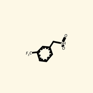 O=[SH](=O)Cc1cc[c]c(C(F)(F)F)c1